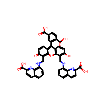 O=C(O)c1ccc(C(=O)O)c(-c2c3ccc(=O)c(CNc4cccc5ccc(C(=O)O)nc45)c-3oc3c(CNc4cccc5ccc(C(=O)O)nc45)c(O)ccc23)c1